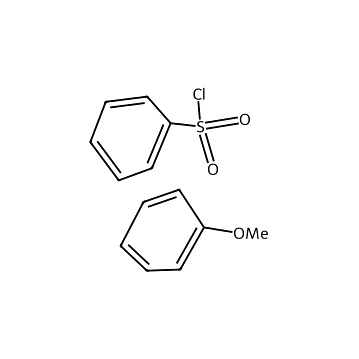 COc1ccccc1.O=S(=O)(Cl)c1ccccc1